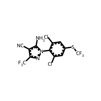 N#Cc1c(C(F)(F)F)nn(-c2c(Cl)cc(SC(F)(F)F)cc2Cl)c1N